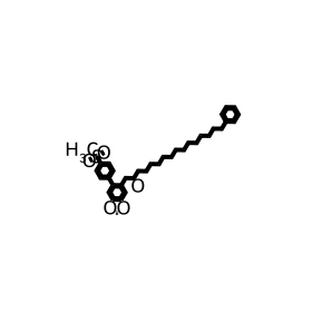 CS(=O)(=O)c1ccc(-c2cc3c(cc2CC(=O)CCCCCCCCCCCCCCc2ccccc2)OCO3)cc1